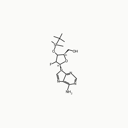 CC(C)(C)[Si](C)(C)OC1C(F)[C@H](n2cnc3c(N)ncnc32)O[C@@H]1CO